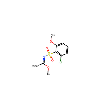 CCCOc1cccc(Cl)c1S(=O)(=O)N=C(OC)OCC